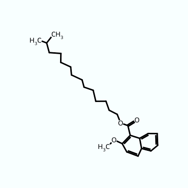 COc1ccc2ccccc2c1C(=O)OCCCCCCCCCCCCC(C)C